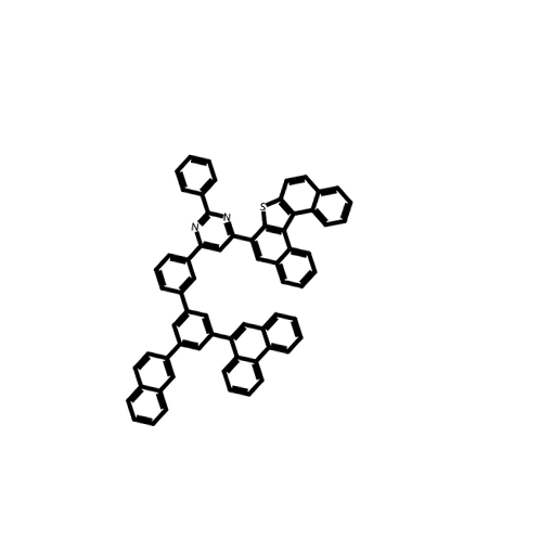 c1ccc(-c2nc(-c3cccc(-c4cc(-c5ccc6ccccc6c5)cc(-c5cc6ccccc6c6ccccc56)c4)c3)cc(-c3cc4ccccc4c4c3sc3ccc5ccccc5c34)n2)cc1